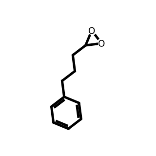 c1ccc(CCCC2OO2)cc1